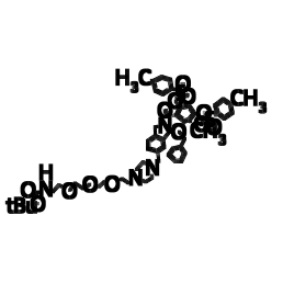 Cc1ccc(S(=O)(=O)Oc2cc(OS(=O)(=O)c3ccc(C)cc3)c(C(=O)N3Cc4ccc(CN5CCN(CCOCCOCCOCCNC(=O)OC(C)(C)C)CC5)cc4C3)c(OCc3ccccc3)c2C)cc1